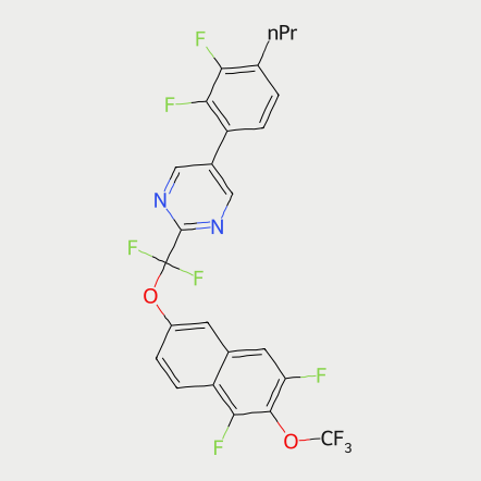 CCCc1ccc(-c2cnc(C(F)(F)Oc3ccc4c(F)c(OC(F)(F)F)c(F)cc4c3)nc2)c(F)c1F